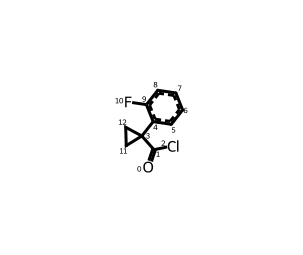 O=C(Cl)C1(c2ccccc2F)CC1